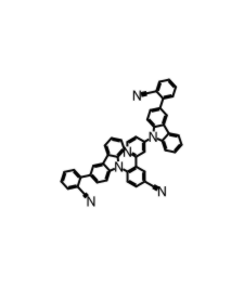 N#Cc1ccc(-n2c3ccccc3c3cc(-c4ccccc4C#N)ccc32)c(-c2cc(-n3c4ccccc4c4cc(-c5ccccc5C#N)ccc43)ccn2)c1